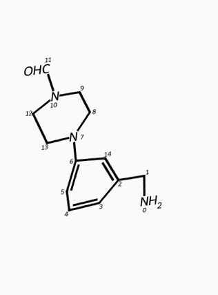 NCc1cccc(N2CCN(C=O)CC2)c1